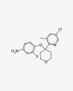 Cc1cc(Cl)cnc1C1(Oc2ccc(N)cc2F)CCOCC1